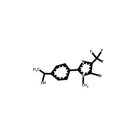 CC(O)c1ccc(-c2nc(C(F)(F)F)c(Br)n2C)cc1